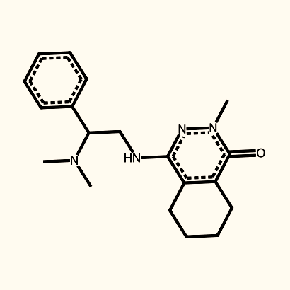 CN(C)C(CNc1nn(C)c(=O)c2c1CCCC2)c1ccccc1